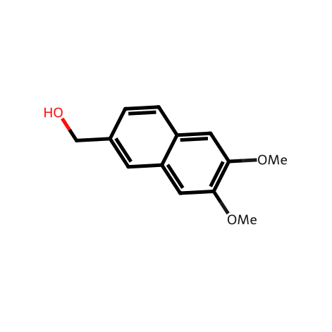 COc1cc2ccc(CO)cc2cc1OC